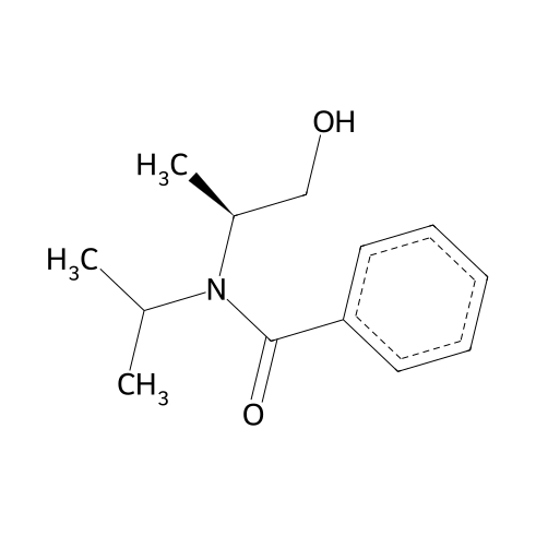 CC(C)N(C(=O)c1ccccc1)[C@@H](C)CO